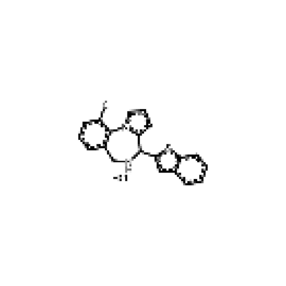 Cl.Clc1cccc2c1-n1cccc1C(c1cc3ccccc3s1)NC2